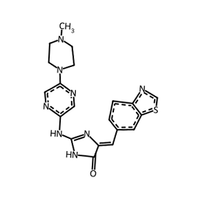 CN1CCN(c2cnc(NC3=N/C(=C\c4ccc5ncsc5c4)C(=O)N3)cn2)CC1